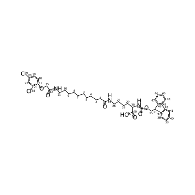 O=C(CCCCCCCCCCNC(=O)COc1ccc(Cl)cc1Cl)NCCCCC(NC(=O)OCC1c2ccccc2-c2ccccc21)C(=O)O